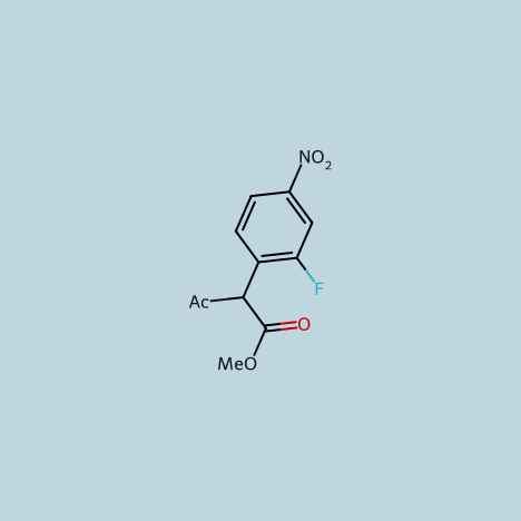 COC(=O)C(C(C)=O)c1ccc([N+](=O)[O-])cc1F